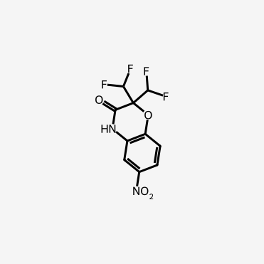 O=C1Nc2cc([N+](=O)[O-])ccc2OC1(C(F)F)C(F)F